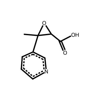 CC1(c2cccnc2)OC1C(=O)O